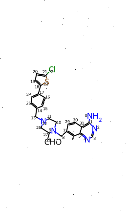 Nc1ncnc2cc(CN3CCN(Cc4ccc(-c5ccc(Cl)s5)cc4)CC3C=O)ccc12